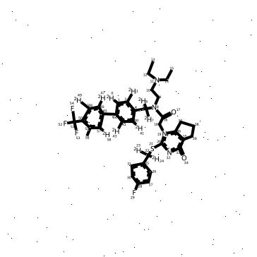 [2H]c1c([2H])c(C([2H])([2H])N(CCN(CC)CC)C(=O)Cn2c(SC([2H])([2H])c3ccc(F)cc3)nc(=O)c3c2CCC3)c([2H])c([2H])c1-c1c([2H])c([2H])c(C(F)(F)F)c(C)c1[2H]